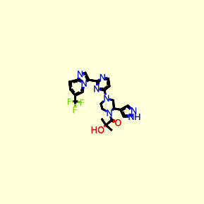 CC(C)(O)C(=O)N1CCN(c2ccnc(-c3cnc4ccc(C(F)(F)F)cn34)n2)CC1c1cn[nH]c1